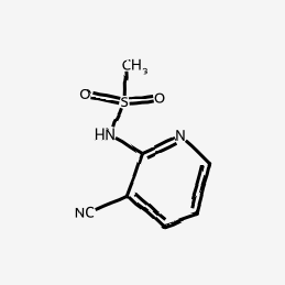 CS(=O)(=O)Nc1ncccc1C#N